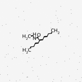 C=CCC=CC=C(C=CCC=C)C(=O)NC=C